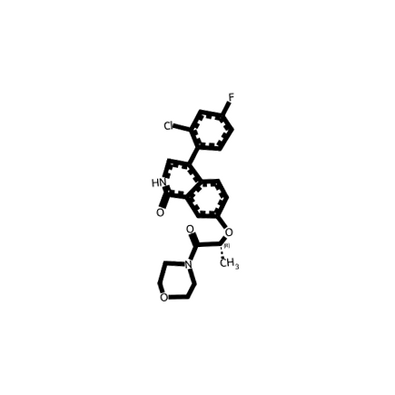 C[C@@H](Oc1ccc2c(-c3ccc(F)cc3Cl)c[nH]c(=O)c2c1)C(=O)N1CCOCC1